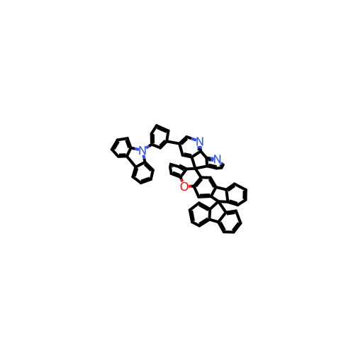 c1cc(-c2cnc3c(c2)C2(c4ccccc4Oc4cc5c(cc42)-c2ccccc2C52c4ccccc4-c4ccccc42)c2cccnc2-3)cc(-n2c3ccccc3c3ccccc32)c1